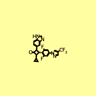 O=C1C(c2ccc3[nH]cnc3c2)[C@@H](c2c(F)cc(-n3cc(C(F)(F)F)cn3)cc2F)C1C1CC1